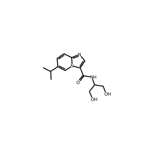 CC(C)c1ccc2ncc(C(=O)NC(CO)CO)n2c1